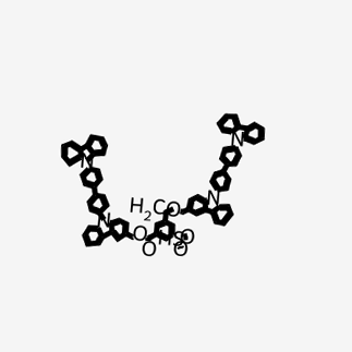 C=C(OCc1ccc2c(c1)c1ccccc1n2-c1ccc(-c2ccc(-n3c4ccccc4c4ccccc43)cc2)cc1)c1cc(C(=O)OCc2ccc3c(c2)c2ccccc2n3-c2ccc(-c3ccc(-n4c5ccccc5c5ccccc54)cc3)cc2)cc([SH](=O)=O)c1